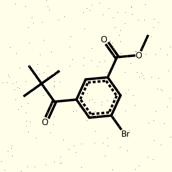 COC(=O)c1cc(Br)cc(C(=O)C(C)(C)C)c1